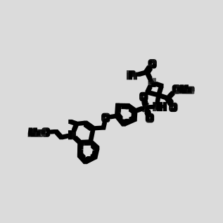 COCCN1c2ccccc2C(COc2ccc(S(=O)(=O)NC3(C(=O)OC)CN(C(=O)C(C)C)C3)cc2)=CC1C